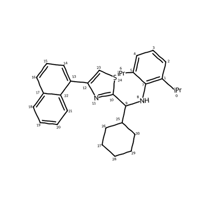 CC(C)c1cccc(C(C)C)c1NC(c1nc(-c2cccc3ccccc23)cs1)C1CCCCC1